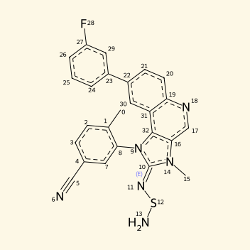 Cc1ccc(C#N)cc1-n1/c(=N/SN)n(C)c2cnc3ccc(-c4cccc(F)c4)cc3c21